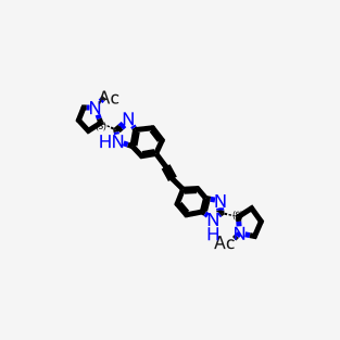 CC(=O)N1CCC[C@H]1c1nc2cc(C#Cc3ccc4nc([C@@H]5CCCN5C(C)=O)[nH]c4c3)ccc2[nH]1